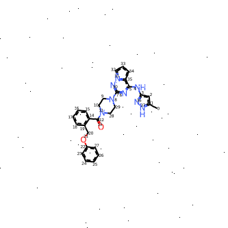 Cc1cc(Nc2nc(N3CCN(C(=O)c4ccccc4COc4ccccc4)CC3)nn3cccc23)n[nH]1